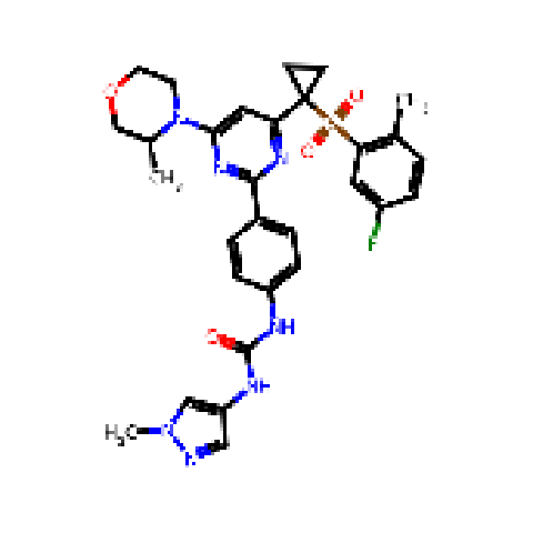 Cc1ccc(F)cc1S(=O)(=O)C1(c2cc(N3CCOC[C@@H]3C)nc(-c3ccc(NC(=O)Nc4cnn(C)c4)cc3)n2)CC1